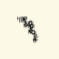 CC1(COc2ccc3c(c2)ncn3-c2ccc3cccc(N4CCCC4CNC(=O)O)c3n2)COC1